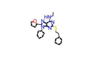 CCNc1nc(SCCc2ccccc2)nc2c1nc(-c1ccco1)n2-c1ccccc1